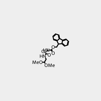 COC(CNS(=O)(=O)NC(=O)OCC1c2ccccc2-c2ccccc21)OC